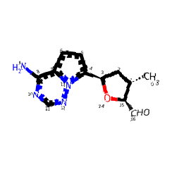 C[C@H]1C[C@H](c2ccc3c(N)ncnn23)O[C@@H]1C=O